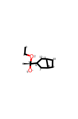 CCO[C@@](C)([O])C1CC2CCC2C1